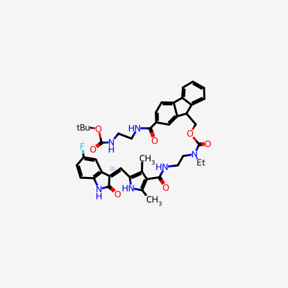 CCN(CCNC(=O)c1c(C)[nH]c(/C=C2\C(=O)Nc3ccc(F)cc32)c1C)C(=O)OCC1c2ccccc2-c2ccc(C(=O)NCCNC(=O)OC(C)(C)C)cc21